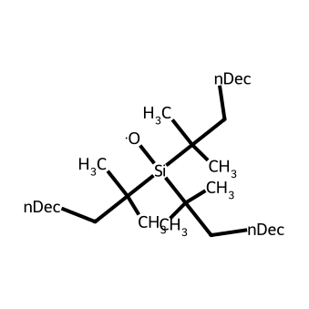 CCCCCCCCCCCC(C)(C)[Si]([O])(C(C)(C)CCCCCCCCCCC)C(C)(C)CCCCCCCCCCC